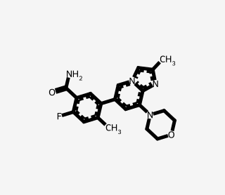 Cc1cn2cc(-c3cc(C(N)=O)c(F)cc3C)cc(N3CCOCC3)c2n1